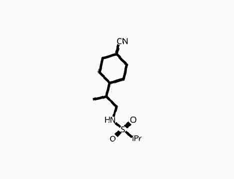 CC(CNS(=O)(=O)C(C)C)C1CCC(C#N)CC1